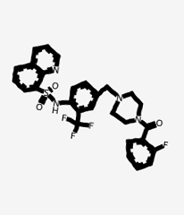 O=C(c1ccccc1F)N1CCN(Cc2ccc(NS(=O)(=O)c3cccc4cccnc34)c(C(F)(F)F)c2)CC1